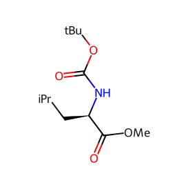 COC(=O)[C@@H](CC(C)C)NC(=O)OC(C)(C)C